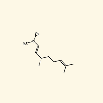 CCN(/C=C/[C@@H](C)CCC=C(C)C)CC